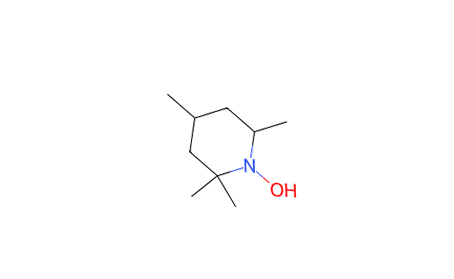 CC1CC(C)N(O)C(C)(C)C1